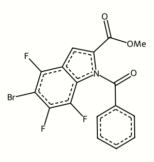 COC(=O)c1cc2c(F)c(Br)c(F)c(F)c2n1C(=O)c1ccccc1